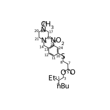 CCCCC(CC)COC(=O)CCSc1ccc(CN2CCN(C)CC2)c([N+](=O)[O-])c1